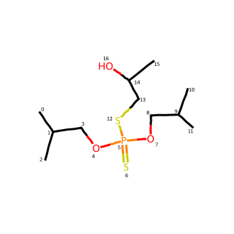 CC(C)COP(=S)(OCC(C)C)SCC(C)O